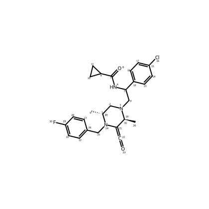 C[C@@H]1CN(CC(NC(=O)C2CC2)c2ccc(Cl)cc2)[C@@H](C)C(=C=O)N1Cc1ccc(F)cc1